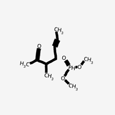 CC#CCC(C)C(C)=O.CO[PH](=O)OC